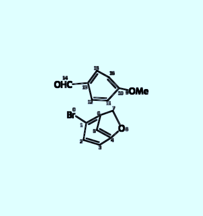 Brc1ccc2cc1CO2.COc1ccc(C=O)cc1